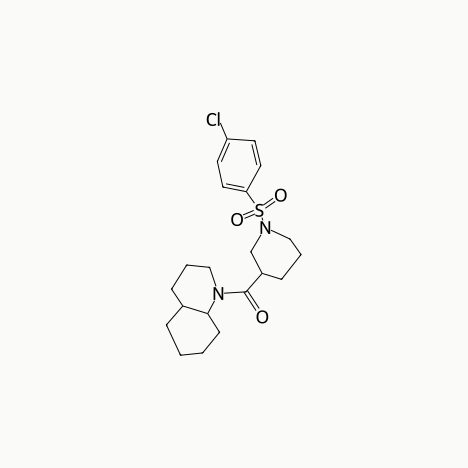 O=C(C1CCCN(S(=O)(=O)c2ccc(Cl)cc2)C1)N1CCCC2CCCCC21